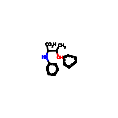 CC(O)C(Nc1ccccc1)C(=O)O.c1ccccc1